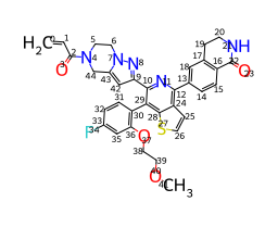 C=CC(=O)N1CCn2nc(-c3nc(-c4ccc5c(c4)CCNC5=O)c4ccsc4c3-c3ccc(F)cc3OCCOC)cc2C1